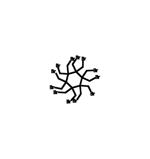 BrCC1(CBr)C(CBr)(CBr)C(CBr)(CBr)C(CBr)(CBr)C(CBr)(CBr)C1(CBr)CBr